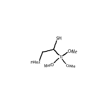 CCCCCCC[CH](S)[Ti]([O]C)([O]C)[O]C